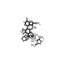 C[C@@H](O)CN1CC2CCC(C1)N2c1nc(OC[C@@H]2[C@@H](C)CCN2C)nc2c(F)c(-c3ncc(F)c4sc(N)c(C#N)c34)c3c(c12)COC3